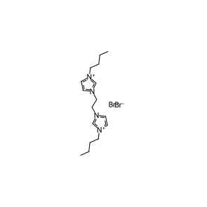 CCCC[n+]1ccn(CCn2cc[n+](CCCC)c2)c1.[Br-].[Br-]